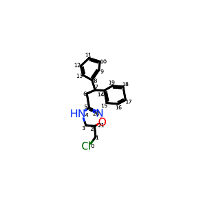 ClCC1CNC(CC(c2ccccc2)c2ccccc2)=NO1